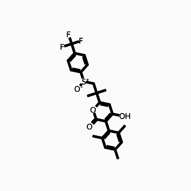 Cc1cc(C)c(-c2c(O)cc(C(C)(C)C[S+]([O-])c3ccc(C(F)(F)F)cc3)oc2=O)c(C)c1